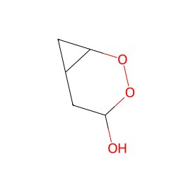 OC1CC2CC2OO1